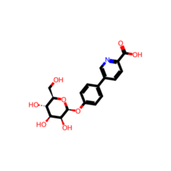 O=C(O)c1ccc(-c2ccc(O[C@@H]3O[C@H](CO)[C@@H](O)[C@H](O)[C@@H]3O)cc2)cn1